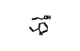 C=CCO.C=Cc1ccccn1